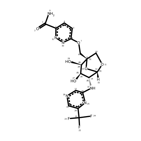 NC(=O)c1ccc(OC[C@@]23CO[C@@H](O2)[C@H](Nc2cncc(C(F)(F)F)n2)[C@@H](O)[C@H]3O)nn1